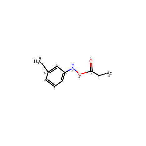 CC(=O)CC(=O)ONc1cccc(C)c1